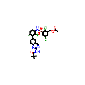 CC(=O)OCc1cc(Cl)cc(S(=O)(=O)Nc2ccc(F)c(-c3ccc4nc(NC(=O)C(C)(C)C)ncc4c3)c2F)c1Cl